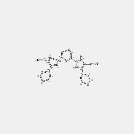 N#Cc1[nH]c(-c2cccc(-c3nc(-c4ccccc4)c(C#N)[nH]3)c2)nc1-c1ccccc1